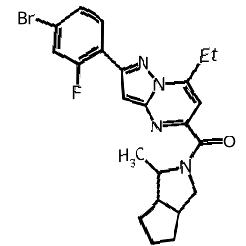 CCc1cc(C(=O)N2CC3CCCC3C2C)nc2cc(-c3ccc(Br)cc3F)nn12